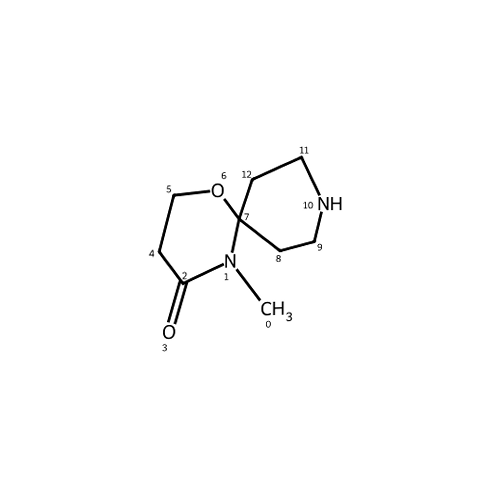 CN1C(=O)CCOC12CCNCC2